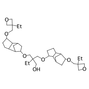 CCC1(COC2CC3CC2C2CCC(OCC(CC)(CO)COC4CC5CC4C4CCC(OCC6(CC)COC6)C54)C32)COC1